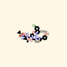 C=C[C@@H]1C[C@]1(NC(=O)[C@@H]1C[C@@H](Oc2ncc(OC)c3ccc(Cl)cc23)CN1C(=O)[C@@H](Nc1nc(-c2cccc(O)c2)cs1)C(C)(C)C)C(=O)NS(=O)(=O)C1CC1